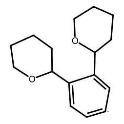 [c]1ccc(C2CCCCO2)c(C2CCCCO2)c1